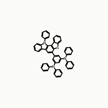 c1ccc(N(c2ccccc2)c2cc(-c3cc4c5ccccc5n(-c5ccccc5)c4c4c3sc3ccccc34)cc(N(c3ccccc3)c3ccccc3)c2)cc1